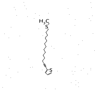 CCSCCCCCCCCCCCCC#Cc1cccs1